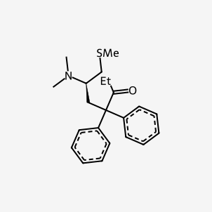 CCC(=O)C(C[C@H](CSC)N(C)C)(c1ccccc1)c1ccccc1